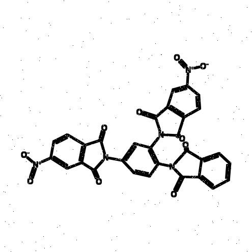 O=C1c2ccc([N+](=O)[O-])cc2C(=O)N1c1ccc(N2C(=O)c3ccccc3C2=O)c(N2C(=O)c3ccc([N+](=O)[O-])cc3C2=O)c1